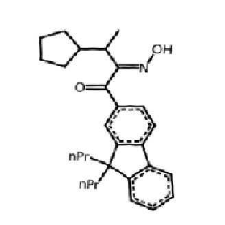 CCCC1(CCC)c2ccccc2-c2ccc(C(=O)C(=NO)C(C)C3CCCC3)cc21